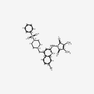 CC1=C(C)C(=O)N(Nc2cc(CN3CCN(S(=O)(=O)c4ccccc4)CC3)c3ccc(Br)cc3n2)C1=O